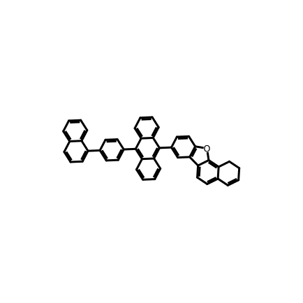 C1=Cc2ccc3c(oc4ccc(-c5c6ccccc6c(-c6ccc(-c7cccc8ccccc78)cc6)c6ccccc56)cc43)c2CC1